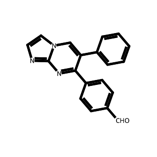 O=Cc1ccc(-c2nc3nccn3cc2-c2ccccc2)cc1